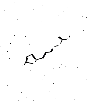 CCNC(=S)N/N=C/C=C/c1ccc([N+](=O)[O-])o1